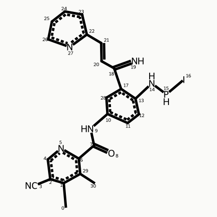 Cc1c(C#N)cnc(C(=O)Nc2ccc(NPI)c(C(=N)/C=C/c3ccccn3)c2)c1C